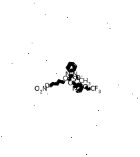 Cc1c(OCC(F)(F)F)ccnc1C[S+]([O-])C1(C(=O)OCCCCCO[N+](=O)[O-])N=c2ccccc2=N1